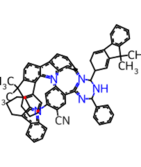 CC1(C)C2=CC(C3NC(c4ccccc4)N=c4c5cc(C#N)c(-n6c7c(c8ccccc86)CCCC7)cc5n5c6cc(ccc6c6ccc7c(c65)C5=C(CCC=C5)C7(C)C)n43)CC=C2c2ccccc21